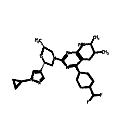 CC1Cc2c(nc(N3C[C@@H](C)O[C@@H](c4cnn(C5CC5)c4)C3)nc2C2CCC(C(F)F)CC2)NC1C